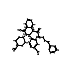 O=C(NCCSc1ccccc1)[C@@H]1c2ccccc2C(=O)N([C@H]2CC[C@H](O)CC2)[C@H]1c1ccc(Cl)cc1